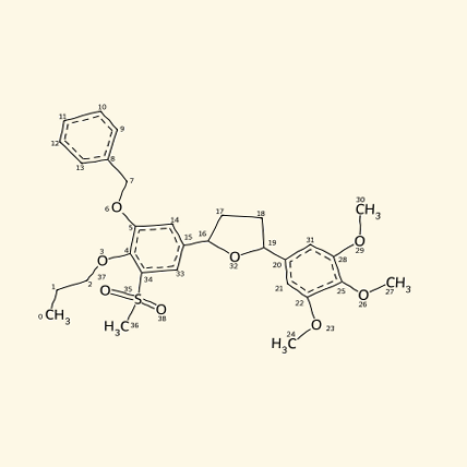 CCCOc1c(OCc2ccccc2)cc(C2CCC(c3cc(OC)c(OC)c(OC)c3)O2)cc1S(C)(=O)=O